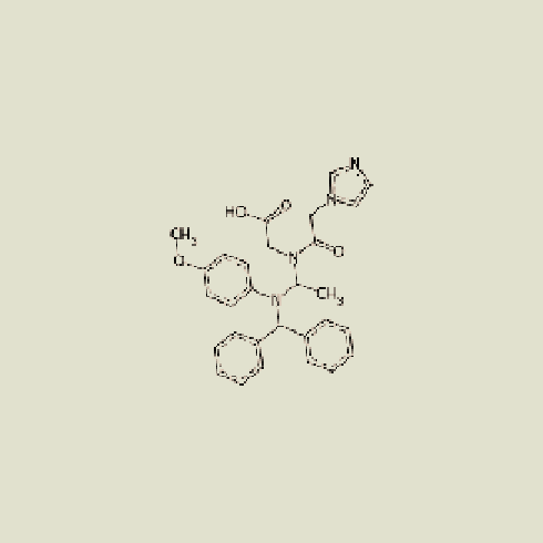 COc1ccc(N(C(c2ccccc2)c2ccccc2)C(C)N(CC(=O)O)C(=O)Cn2ccnc2)cc1